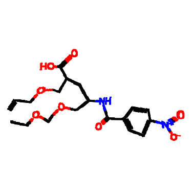 C=CCOCC(CC(COCOCC)NC(=O)c1ccc([N+](=O)[O-])cc1)C(=O)O